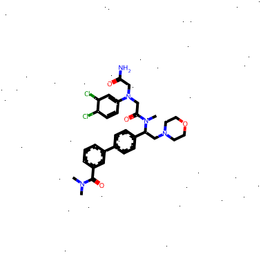 CN(C)C(=O)c1cccc(-c2ccc(C(CN3CCOCC3)N(C)C(=O)CN(CC(N)=O)C3=CC(Cl)C(Cl)C=C3)cc2)c1